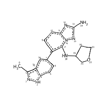 Cc1n[nH]c2ccc(-c3ccc4nc(N)nn4c3NC3CCOC3)cc12